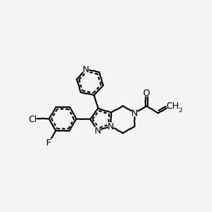 C=CC(=O)N1CCn2nc(-c3ccc(Cl)c(F)c3)c(-c3ccncc3)c2C1